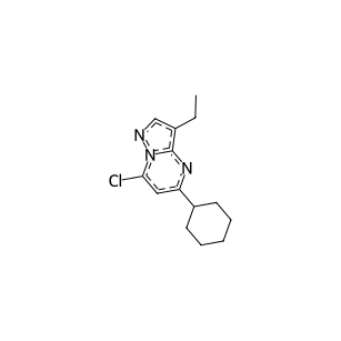 CCc1cnn2c(Cl)cc(C3CCCCC3)nc12